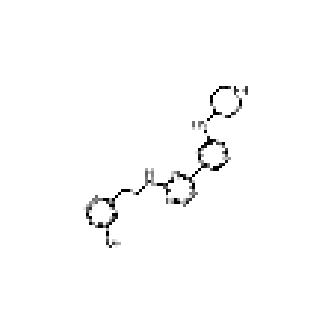 Oc1cccc(CCNc2nccc(-c3cccc(NC4CCNCC4)c3)n2)c1